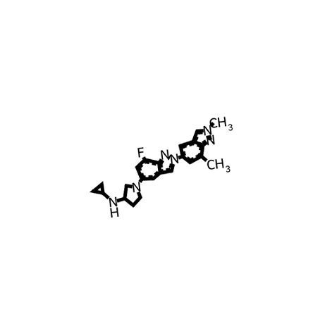 Cc1cc(-n2cc3cc(N4CCC(NC5CC5)C4)cc(F)c3n2)cc2cn(C)nc12